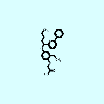 CCCCC(Oc1ccc(OCC(=O)O)c(CC)c1)c1cccc(-c2ccccc2)n1